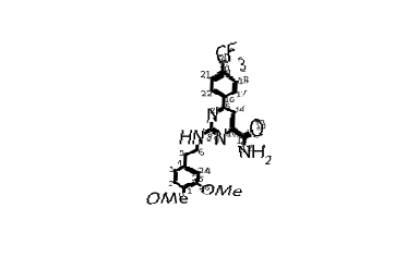 COc1ccc(CCNc2nc(C(N)=O)cc(-c3ccc(C(F)(F)F)cc3)n2)cc1OC